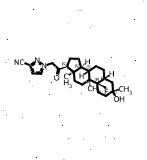 C[C@@]1(O)CC[C@@]2(CF)[C@H](CC[C@H]3[C@@H]4CC[C@H](C(=O)Cn5ccc(C#N)n5)[C@@]4(C)CC[C@@]32C)C1